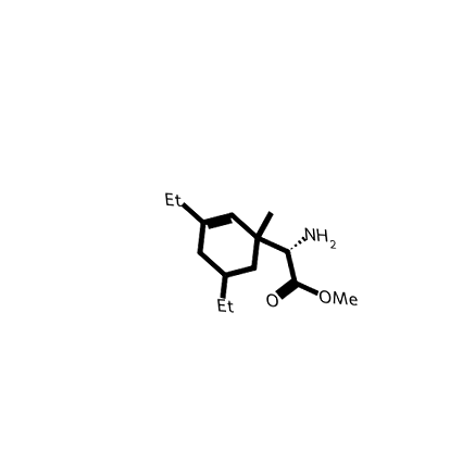 CCC1=CC(C)([C@H](N)C(=O)OC)CC(CC)C1